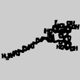 NCCOCCOCCOCCOCCc1cn(CCOC2c3c(O)cc(O)cc3OC(c3cc(O)c(O)c(O)c3)C2OC(=O)c2cc(O)cc(F)c2)nn1